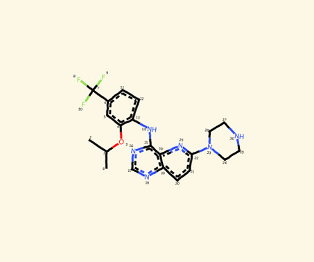 CC(C)Oc1cc(C(F)(F)F)ccc1Nc1ncnc2ccc(N3CCNCC3)nc12